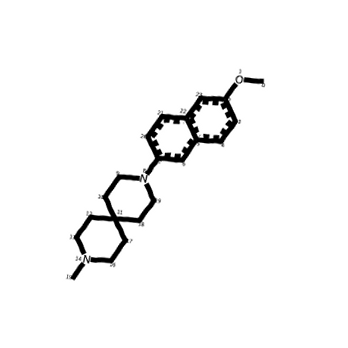 COc1ccc2cc(N3CCC4(CCN(C)CC4)CC3)ccc2c1